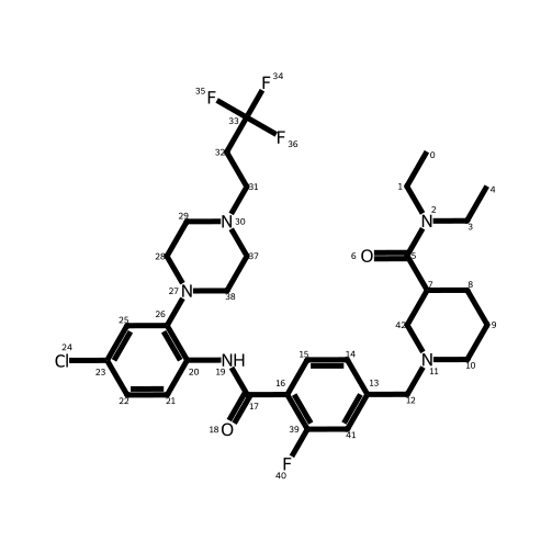 CCN(CC)C(=O)C1CCCN(Cc2ccc(C(=O)Nc3ccc(Cl)cc3N3CCN(CCC(F)(F)F)CC3)c(F)c2)C1